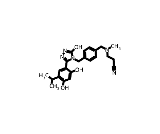 CC(C)c1cc(-c2nnc(O)n2Cc2ccc(CN(C)CCC#N)cc2)c(O)cc1O